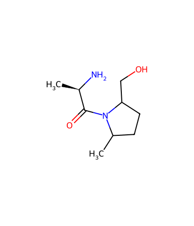 CC1CCC(CO)N1C(=O)[C@@H](C)N